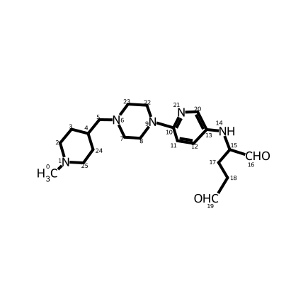 CN1CCC(CN2CCN(c3ccc(NC(C=O)CCC=O)cn3)CC2)CC1